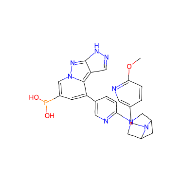 COc1ccc(CN2C3CC2CN(c2ccc(-c4cc(P(O)O)cn5nc6[nH]ncc6c45)cn2)C3)cn1